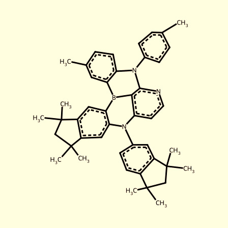 Cc1ccc(N2c3ccc(C)cc3B3c4cc5c(cc4N(c4ccc6c(c4)C(C)(C)CC6(C)C)c4ccnc2c43)C(C)(C)CC5(C)C)cc1